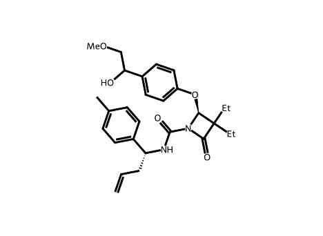 C=CC[C@@H](NC(=O)N1C(=O)C(CC)(CC)[C@@H]1Oc1ccc(C(O)COC)cc1)c1ccc(C)cc1